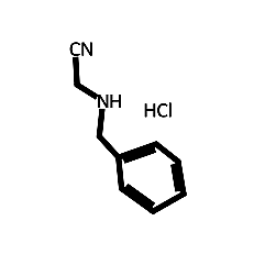 Cl.N#CCNCc1ccccc1